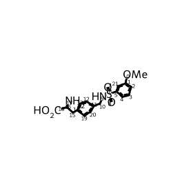 COc1cccc(S(=O)(=O)NCc2ccc(CC(N)C(=O)O)cc2)c1